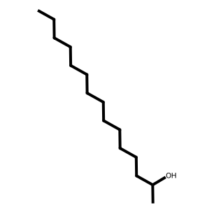 CCCCCCCCCCCCCC(C)O